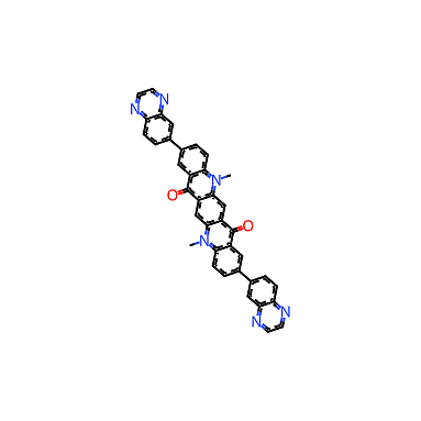 Cn1c2ccc(-c3ccc4nccnc4c3)cc2c(=O)c2cc3c(cc21)c(=O)c1cc(-c2ccc4nccnc4c2)ccc1n3C